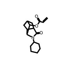 C=CC(=O)OC1C2CC3C(=O)N(C4CCCCC4)C1C3C2